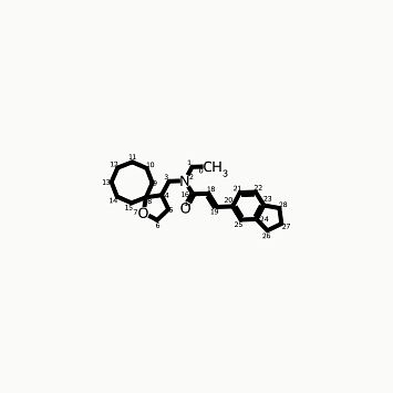 CCN(CC1CCOC12CCCCCCC2)C(=O)/C=C/c1ccc2c(c1)CCC2